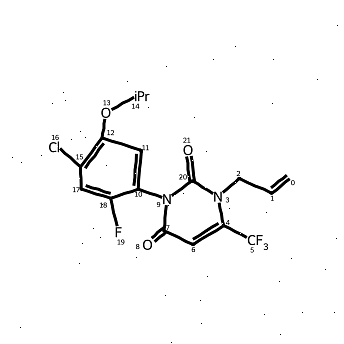 C=CCn1c(C(F)(F)F)cc(=O)n(-c2cc(OC(C)C)c(Cl)cc2F)c1=O